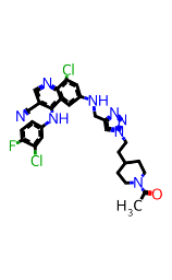 CC(=O)N1CCC(CCn2cc(CNc3cc(Cl)c4ncc(C#N)c(Nc5ccc(F)c(Cl)c5)c4c3)nn2)CC1